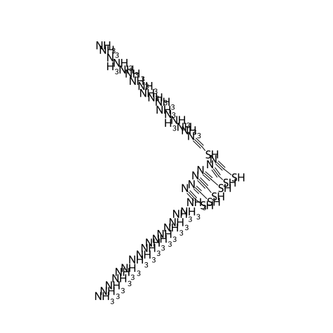 N.N.N.N.N.N.N.N.N.N.N.N.N.N.N.N.N.N.N.N.N.N.N.N.N.N.N.N.N.N.N.N.N.N#CS.N#CS.N#CS.N#CS.N#CS.N#CS.N#CS